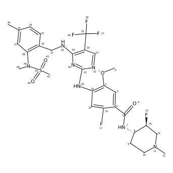 COc1cc(C(=O)N[C@H]2CCN(C)C[C@@H]2F)c(F)cc1Nc1ncc(C(F)(F)F)c(NCc2ccc(C)cc2N(C)S(C)(=O)=O)n1